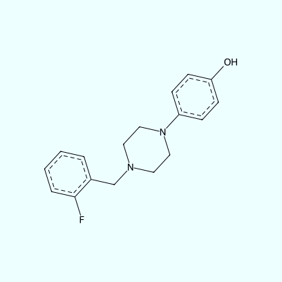 Oc1ccc(N2CCN(Cc3ccccc3F)CC2)cc1